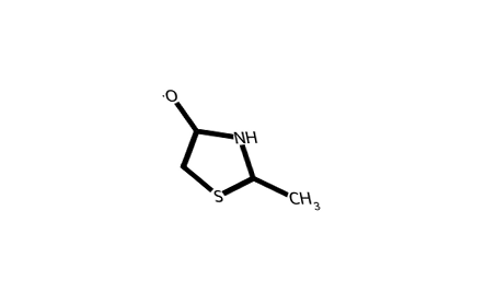 CC1NC([O])CS1